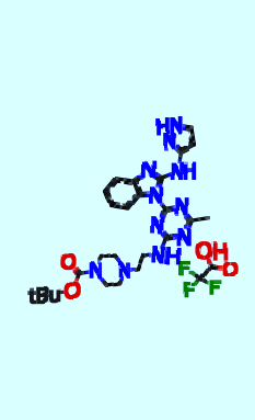 Cc1nc(NCCN2CCN(C(=O)OC(C)(C)C)CC2)nc(-n2c(Nc3cc[nH]n3)nc3ccccc32)n1.O=C(O)C(F)(F)F